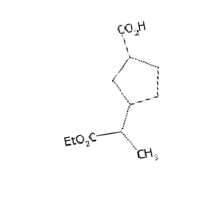 CCOC(=O)C(C)C1CCC(C(=O)O)C1